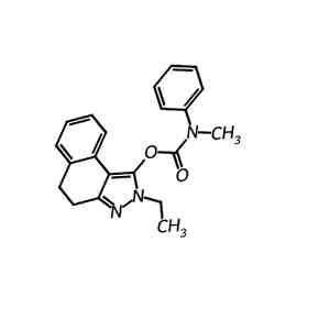 CCn1nc2c(c1OC(=O)N(C)c1ccccc1)-c1ccccc1CC2